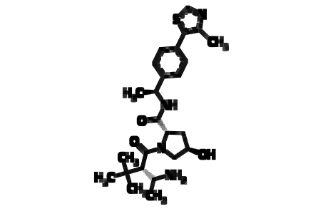 Cc1ncsc1-c1ccc([C@H](C)NC(=O)[C@@H]2C[C@@H](O)CN2C(=O)[C@H](C(C)N)C(C)(C)C)cc1